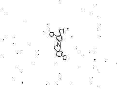 Clc1ccc2c(c1)CN(c1ccc(Cl)c(Cl)c1)CC2